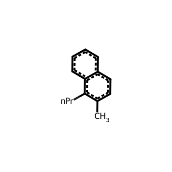 CCCc1c(C)ccc2ccccc12